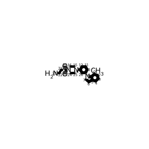 Cc1cccc2ccn(-c3cccc(N4CCN(S(=O)(=O)CCN)CC4)c3)c12